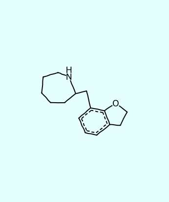 c1cc2c(c(CC3CCCCCN3)c1)OCC2